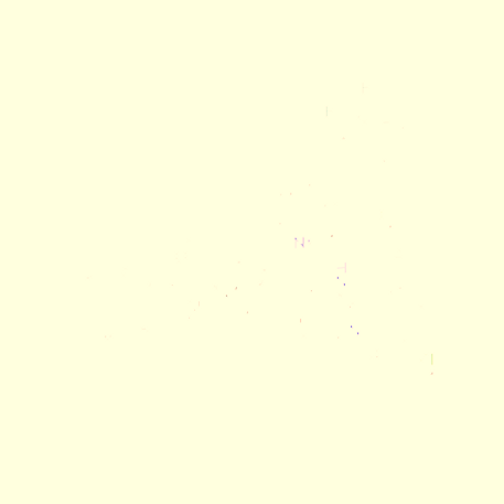 CC(=O)N(Cc1ccc(C(F)(F)F)cc1Cl)C(C(=O)Nc1ncc(Cl)cc1F)C12CC(OC(=O)c3ccccc3)(C1)C2